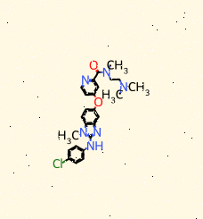 CN(C)CCN(C)C(=O)c1cc(Oc2ccc3c(c2)nc(Nc2ccc(Cl)cc2)n3C)ccn1